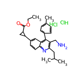 CCOC(=O)C1CC1c1ccc2nc(CC(C)C)c(CN)c(-c3ccc(C)cc3)c2c1.Cl.Cl